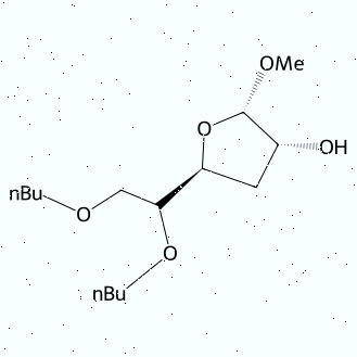 CCCCOCC(OCCCC)[C@@H]1C[C@@H](O)[C@@H](OC)O1